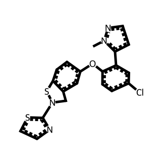 Cn1nccc1-c1cc(Cl)ccc1Oc1ccc2c(c1)CN(c1nccs1)S2